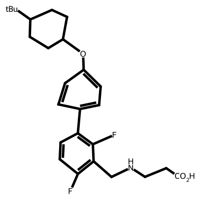 CC(C)(C)C1CCC(Oc2ccc(-c3ccc(F)c(CNCCC(=O)O)c3F)cc2)CC1